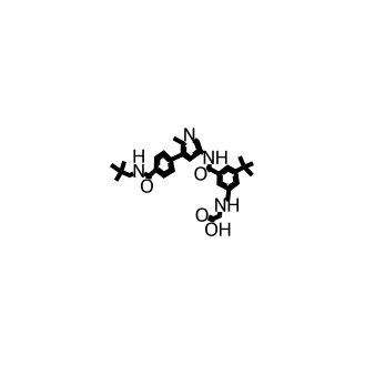 Cc1ncc(NC(=O)c2cc(CNCC(=O)O)cc(C(C)(C)C)c2)cc1-c1ccc(C(=O)NCC(C)(C)C)cc1